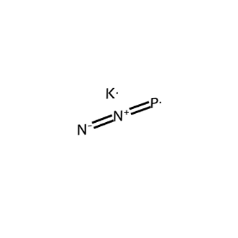 [K].[N-]=[N+]=[P]